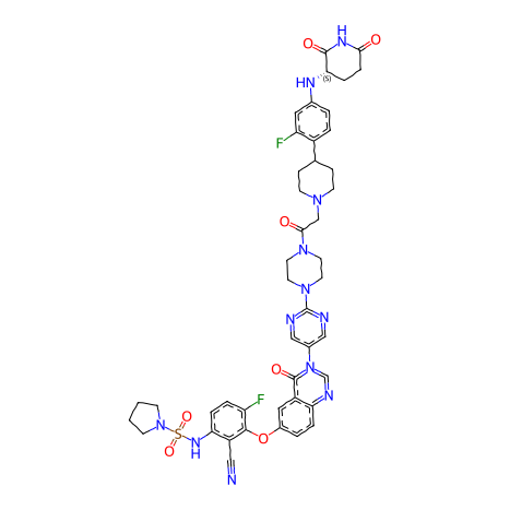 N#Cc1c(NS(=O)(=O)N2CCCC2)ccc(F)c1Oc1ccc2ncn(-c3cnc(N4CCN(C(=O)CN5CCC(c6ccc(N[C@H]7CCC(=O)NC7=O)cc6F)CC5)CC4)nc3)c(=O)c2c1